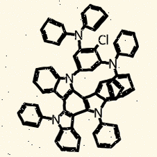 Clc1c(N(c2ccccc2)c2ccccc2)cc(-n2c3ccccc3c3c4c(c5ccccc5n4-c4ccccc4)c4c(c5ccccc5n4-c4ccccc4)c32)cc1N(c1ccccc1)c1ccccc1